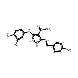 NC(=O)c1c(Nc2ccc(Br)c(Cl)c2)n[nH]c1/N=C/c1ccc(O)cc1